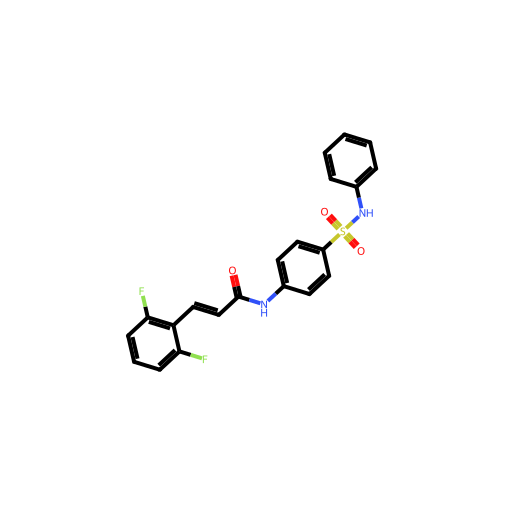 O=C(/C=C/c1c(F)cccc1F)Nc1ccc(S(=O)(=O)Nc2ccccc2)cc1